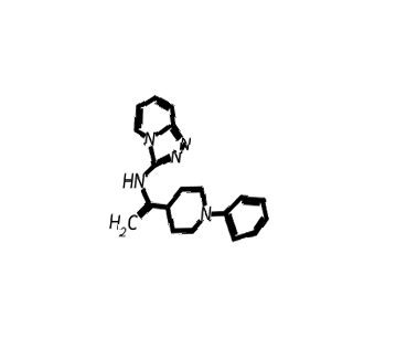 C=C(Nc1nnc2ccccn12)C1CCN(c2ccccc2)CC1